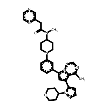 CN(C(=O)Cc1cnccn1)C1CCN(c2cccc(-c3cc(-c4ccnn4C4CCOCC4)c4c(N)ncnn34)c2)CC1